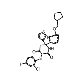 O=C1CC(c2ccsc2)(c2cccc(OCC3CCCC3)n2)NC(=O)C1Sc1ccc(F)cc1Cl